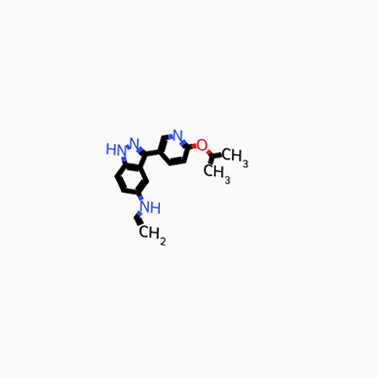 C=CNc1ccc2[nH]nc(-c3ccc(OC(C)C)nc3)c2c1